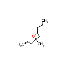 C=CCC1CC(C)(CC=C)O1